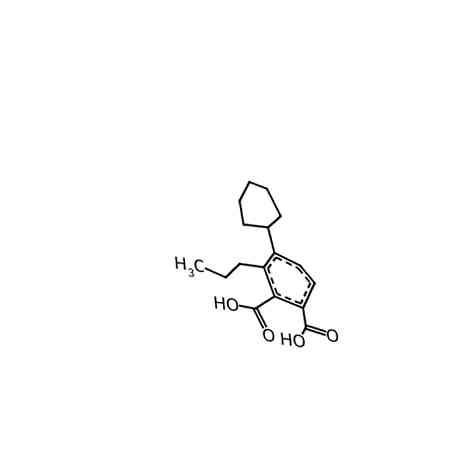 CCCc1c(C2CCCCC2)ccc(C(=O)O)c1C(=O)O